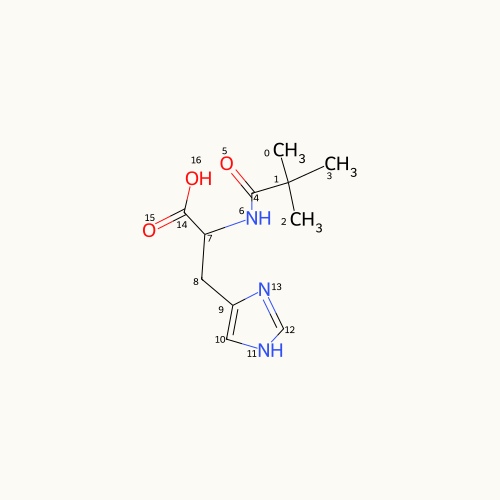 CC(C)(C)C(=O)NC(Cc1c[nH]cn1)C(=O)O